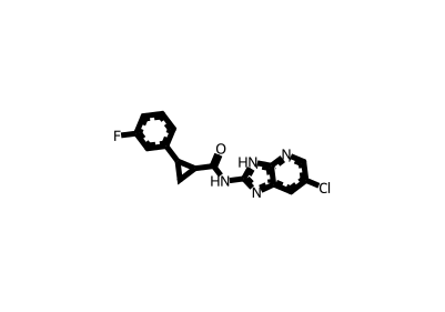 O=C(Nc1nc2cc(Cl)cnc2[nH]1)C1CC1c1cccc(F)c1